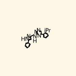 CC(C)c1ccccc1-c1cnnc(NCc2cc(-c3ccccc3)[nH]n2)n1